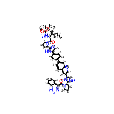 COC(=O)N[C@H](C(=O)N1CCC[C@H]1c1ncc(-c2ccc(-c3ccc4cc(-c5c[nH]c([C@@H]6CCCN6C(=O)[C@H](N)c6ccccc6)n5)cnc4c3)cc2)[nH]1)C(C)C